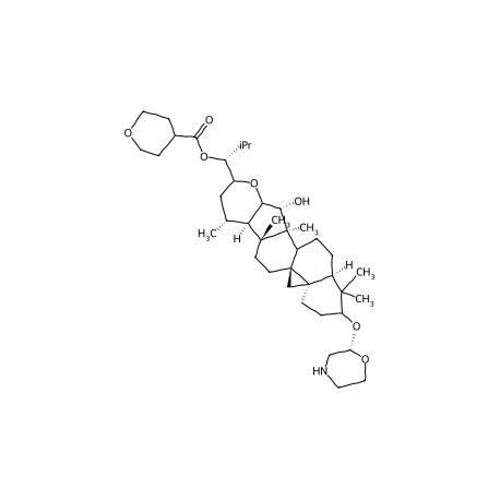 CC(C)[C@@H](OC(=O)C1CCOCC1)C1C[C@@H](C)[C@H]2C(O1)[C@H](O)[C@@]1(C)C3CC[C@H]4C(C)(C)C(O[C@H]5CNCCO5)CC[C@@]45C[C@@]35CC[C@]21C